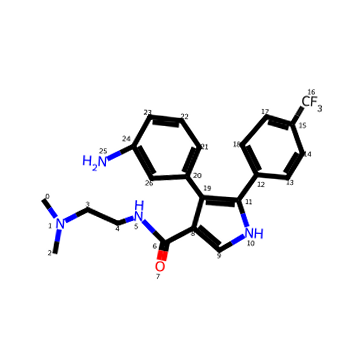 CN(C)CCNC(=O)c1c[nH]c(-c2ccc(C(F)(F)F)cc2)c1-c1cccc(N)c1